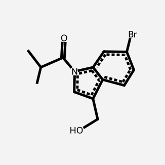 CC(C)C(=O)n1cc(CO)c2ccc(Br)cc21